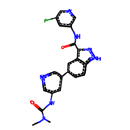 CN(C)C(=O)Nc1cncc(-c2ccc3[nH]nc(C(=O)Nc4cncc(F)c4)c3c2)c1